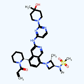 C=CC(=O)N1CCCC[C@@H]1c1ccc(N2C[C@H](N(C(C)C)S(C)(=O)=O)[C@H]2C)c2cnc(Nc3ccnc(N4CCC(C)(O)CC4)n3)cc12